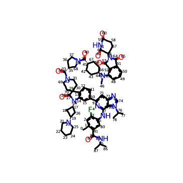 Cc1cc(F)c(Nc2nc(-c3ccc4c(c3)N([C@H]3C[C@@H](N5CCCCC5)C3)C(=O)C43CCN(C(=O)[C@@H]4CCN(C(=O)[C@H]5CC[C@H](N(C)c6cccc7c6C(=O)N(C6CCC(=O)NC6=O)C7=O)CC5)C4)CC3)cc3ncn(C(C)C)c23)cc1C(=O)NC(C)C